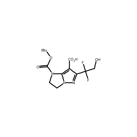 CC(C)(C)OC(=O)N1CCn2nc(C(F)(F)CO)c(C(=O)O)c21